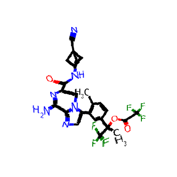 Cc1ccc(C(C)(OC(=O)C(F)(F)F)C(F)(F)F)cc1-c1cnc2c(N)nc(C(=O)NC34CC(C#N)(C3)C4)cn12